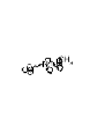 COc1ccccc1CNC1CCCN(CCCCC2COC(=O)O2)C1c1ccccc1